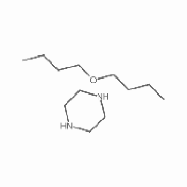 C1CNCCN1.CCCCOCCCC